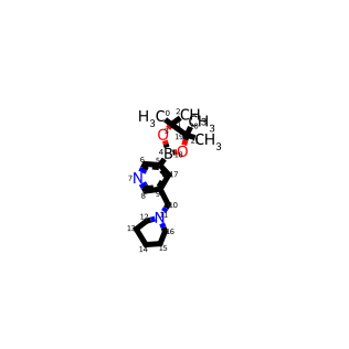 CC1(C)OB(c2cncc(CN3CCCCC3)c2)OC1(C)C